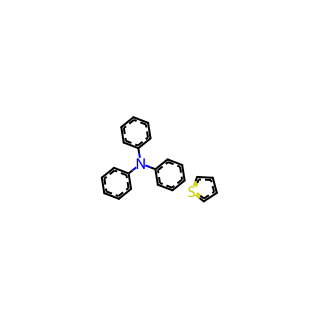 c1ccc(N(c2ccccc2)c2ccccc2)cc1.c1ccsc1